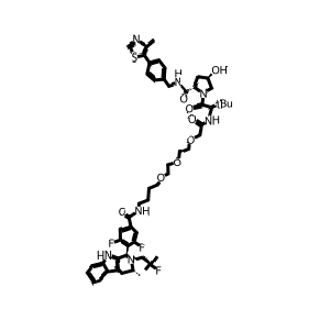 Cc1ncsc1-c1ccc(CNC(=O)[C@@H]2C[C@@H](O)CN2C(=O)C(NC(=O)COCCOCCOCCCCNC(=O)c2cc(F)c([C@@H]3c4[nH]c5ccccc5c4C[C@@H](C)N3CC(C)(C)F)c(F)c2)C(C)(C)C)cc1